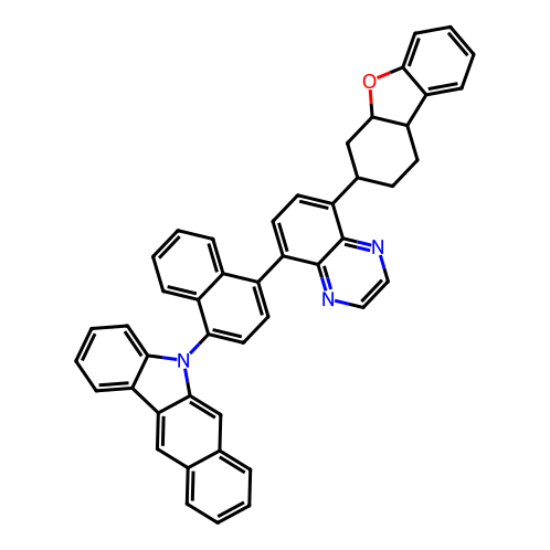 c1ccc2c(c1)OC1CC(c3ccc(-c4ccc(-n5c6ccccc6c6cc7ccccc7cc65)c5ccccc45)c4nccnc34)CCC21